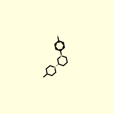 CC1CCN([C@H]2CCCN(c3ccc(I)cc3)C2)CC1